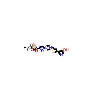 CC(C)(C)S(=O)(=O)NC(=O)c1ccc(N2CCN(Cc3cc(-c4cncc(O)c4)cs3)CC2)nn1